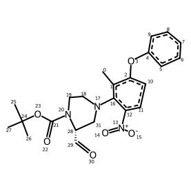 Cc1c(Oc2ccccc2)ccc([N+](=O)[O-])c1N1CCN(C(=O)OC(C)(C)C)[C@@H](C=O)C1